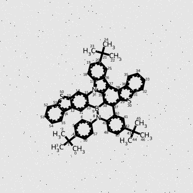 CC(C)(C)c1ccc(N2B3c4cc5c(cc4-n4c6ccc(C(C)(C)C)cc6c6c7c(sc8ccccc87)c(c3c64)-c3cc(C(C)(C)C)ccc32)sc2ccccc25)cc1